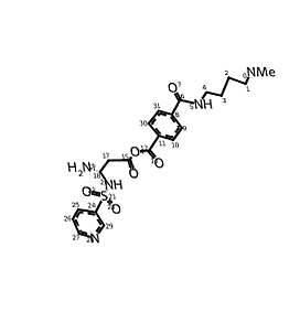 CNCCCCNC(=O)c1ccc(C(=O)OC(=O)C[C@@H](N)NS(=O)(=O)c2cccnc2)cc1